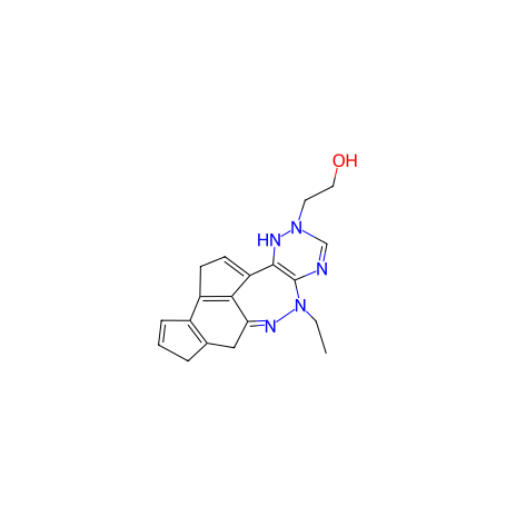 CCn1nc2c3c(c4[nH]n(CCO)cnc1=4)=CCC=3C1=C(CC=C1)C2